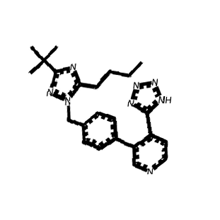 CCCCc1nc(C(C)(C)C)nn1Cc1ccc(-c2cnccc2-c2nnn[nH]2)cc1